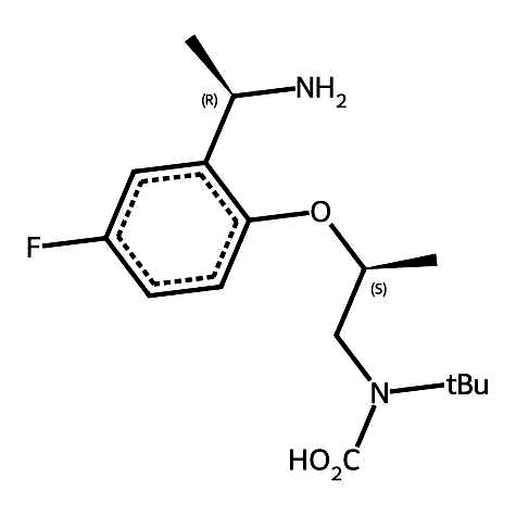 C[C@@H](CN(C(=O)O)C(C)(C)C)Oc1ccc(F)cc1[C@@H](C)N